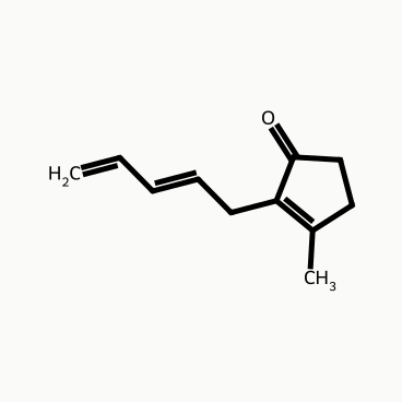 C=CC=CCC1=C(C)CCC1=O